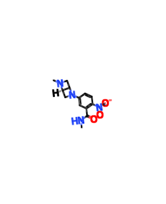 CNC(=O)c1cc(N2C[C@@H]3C2CN3C)ccc1[N+](=O)[O-]